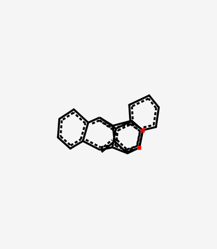 [c]1cccc2c1c1c3ccccc3c2c2ccc3ccccc3c21